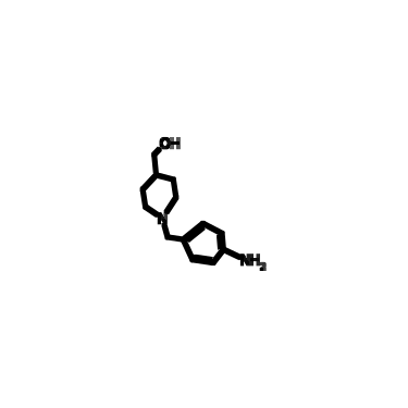 Nc1ccc(CN2CCC(CO)CC2)cc1